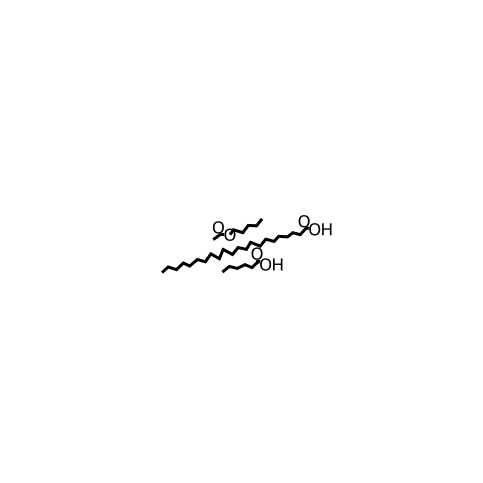 CCCCCC(=O)O.CCCCCCCCCCCCCCCCCCCCCC(=O)O.CCCCCOC(C)=O